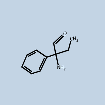 CCC(N)([C]=O)c1ccccc1